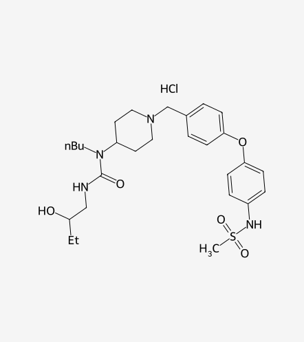 CCCCN(C(=O)NCC(O)CC)C1CCN(Cc2ccc(Oc3ccc(NS(C)(=O)=O)cc3)cc2)CC1.Cl